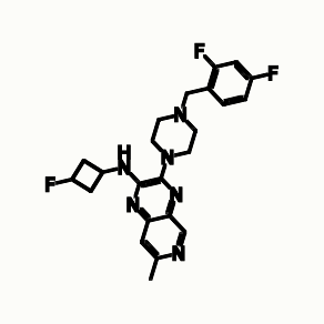 Cc1cc2nc(NC3CC(F)C3)c(N3CCN(Cc4ccc(F)cc4F)CC3)nc2cn1